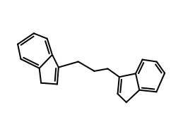 C1=C(CCCC2=CCc3ccccc32)c2ccccc2C1